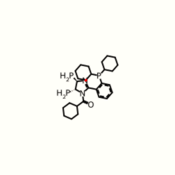 O=C(C1CCCCC1)N1C(c2ccccc2P(C2CCCCC2)C2CCCCC2)=N[C@H](P)[C@H]1P